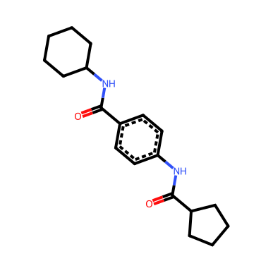 O=C(NC1CCCCC1)c1ccc(NC(=O)C2CCCC2)cc1